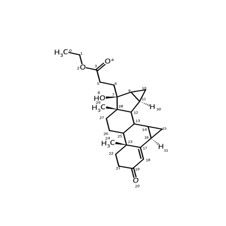 CCOC(=O)CC[C@]1(O)C2C[C@H]2C2C3C4C[C@H]4C4=CC(=O)CC[C@]4(C)C3CC[C@@]21C